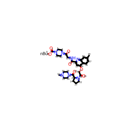 CCCCOC(=O)N1CCN(C(=O)CNC(=O)c2cc(OCC(=O)N3CCCC3C(=O)N3CCN(C)CC3)c3ccc(C)cc3n2)CC1